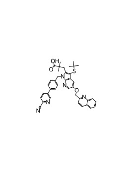 CC(C)(C)Sc1c(CC(C)(C)C(=O)O)n(Cc2ccc(-c3ccc(C#N)nc3)cc2)c2ncc(OCc3ccc4ccccc4n3)cc12